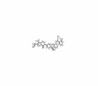 C[C@@H](OC(=O)Nc1c(F)cnn1-c1ccc(-c2ccc(C3(C(=O)NC#N)CC3)cc2F)cc1)c1ccccc1Cl